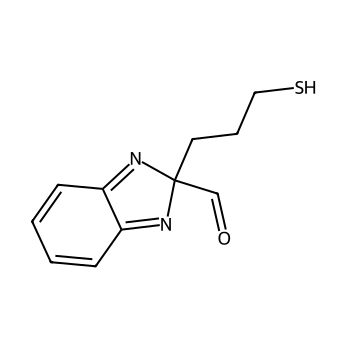 O=CC1(CCCS)N=c2ccccc2=N1